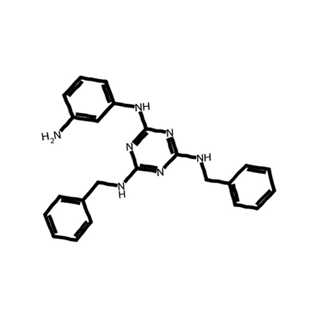 Nc1cccc(Nc2nc(NCc3ccccc3)nc(NCc3ccccc3)n2)c1